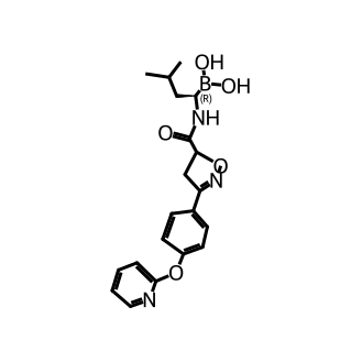 CC(C)C[C@H](NC(=O)C1CC(c2ccc(Oc3ccccn3)cc2)=NO1)B(O)O